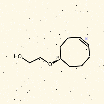 OCCO[C@H]1CC/C=C\CCC1